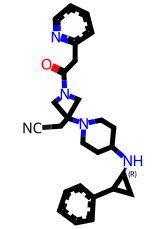 N#CCC1(N2CCC(N[C@@H]3CC3c3ccccc3)CC2)CN(C(=O)Cc2ccccn2)C1